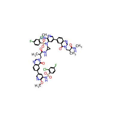 CNC(=O)C(C)Cn1cnc2ccc(-c3cnc(NC)c(N(C4CC4NC(=O)C(C)Cn4cnc5ccc(-c6cnc(OC)c(NS(=O)(=O)c7ccc(F)cc7Cl)c6)cc5c4=O)S(=O)(=O)c4ccc(F)cc4Cl)c3)cc2c1=O